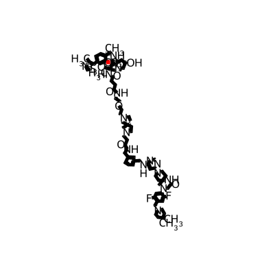 Cc1ncsc1-c1ccc([C@H](C)NC(=O)[C@@H]2C[C@@H](O)CN2CC(C=O)(NC(=O)CCC(=O)NCCOCCN2CC[C@@]3(CCN(CCC(=O)NCc4cccc(CNc5cc(N6CCC7(CC6)CN(c6cc(F)c(CN8CCC(C)(C)CC8)cc6F)CC(=O)N7)ncn5)c4)C3)C2)C(C)(C)C)cc1